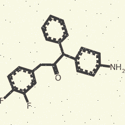 Nc1ccc(C(C(=O)Cc2ccc(F)c(F)c2)c2ccccc2)cc1